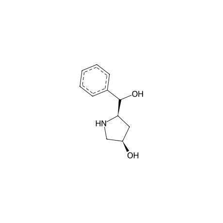 OC(c1ccccc1)[C@H]1C[C@@H](O)CN1